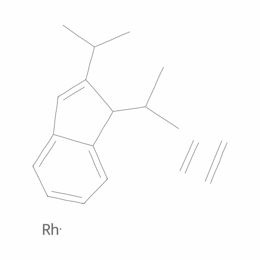 C=C.C=C.CC(C)C1=Cc2ccccc2C1C(C)C.[Rh]